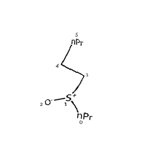 [CH2]CC[S+]([O-])CCCCC